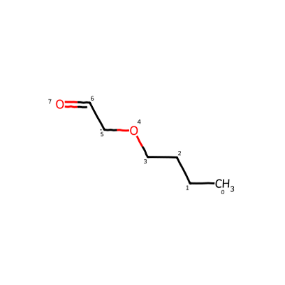 CCCCO[CH]C=O